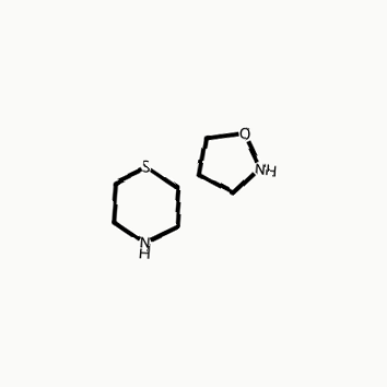 C1CNOC1.C1CSCCN1